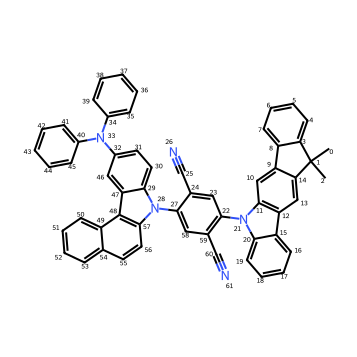 CC1(C)c2ccccc2-c2cc3c(cc21)c1ccccc1n3-c1cc(C#N)c(-n2c3ccc(N(c4ccccc4)c4ccccc4)cc3c3c4ccccc4ccc32)cc1C#N